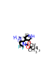 CC(C)(C)OC(=O)N1C(F)=C(F)C=C(N)C1C1CCNCC1